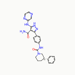 NC(=O)c1c(-c2ccc(NC(=O)N3CCC[C@@H](c4ccccc4)C3)cc2)n[nH]c1Nc1cnccn1